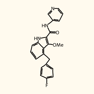 COc1c(C(=O)Nc2cccnc2)[nH]c2cccc(Cc3ccc(F)cc3)c12